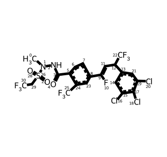 CN(NC(=O)c1ccc(/C(F)=C/C(c2cc(Cl)c(Cl)c(Cl)c2)C(F)(F)F)cc1C(F)(F)F)S(=O)(=O)CC(F)(F)F